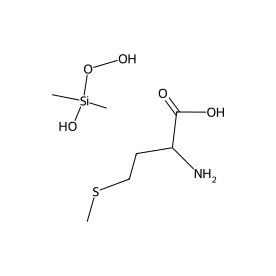 CSCCC(N)C(=O)O.C[Si](C)(O)OO